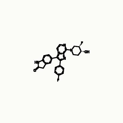 O=C1Cc2cc(-c3c(-c4ccc(F)cc4)nc4c(N5CC[C@@H](O)[C@@H](F)C5)nccn34)ccc2N1